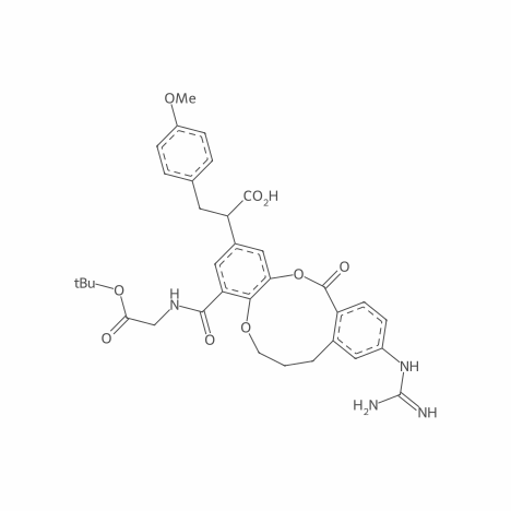 COc1ccc(CC(C(=O)O)c2cc3c(c(C(=O)NCC(=O)OC(C)(C)C)c2)OCCCc2cc(NC(=N)N)ccc2C(=O)O3)cc1